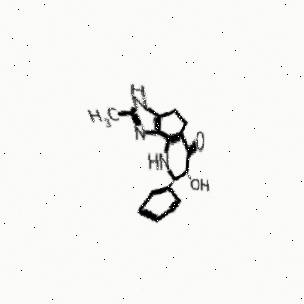 Cc1nc2c([nH]1)CCC1=C2N[C@H](c2ccccc2)[C@@H](O)C1=O